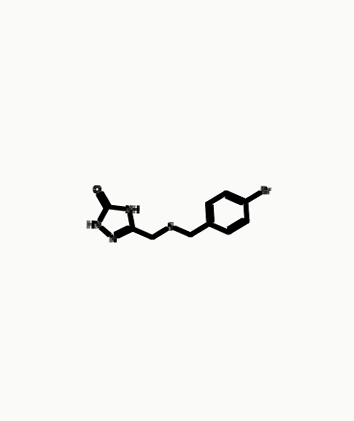 O=c1[nH]nc(CSCc2ccc(Br)cc2)[nH]1